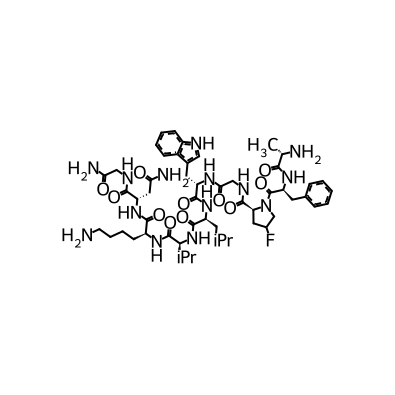 CC(C)C[C@H](NC(=O)[C@H](Cc1c[nH]c2ccccc12)NC(=O)CNC(=O)[C@@H]1CC(F)CN1C(=O)[C@H](Cc1ccccc1)NC(=O)[C@H](C)N)C(=O)N[C@H](C(=O)N[C@@H](CCCCN)C(=O)N[C@@H](CC(N)=O)C(=O)NCC(N)=O)C(C)C